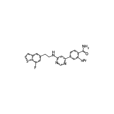 CCCc1cc(-c2cc(NCCc3cc(F)c4sccc4c3)ncn2)ccc1C(N)=O